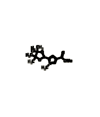 COC(=O)c1cc(B2OC(C)(C)C(C)(C)O2)n(C)c1